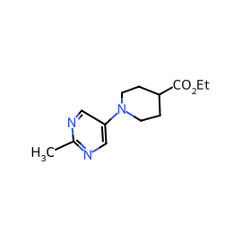 CCOC(=O)C1CCN(c2cnc(C)nc2)CC1